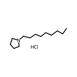 CCCCCCCCCN1CCCC1.Cl